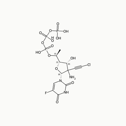 C[C@H](OP(=O)(O)OP(=O)(O)OP(=O)(O)O)[C@H]1O[C@@H](n2cc(F)c(=O)[nH]c2=O)C(N)(C#CCl)[C@H]1O